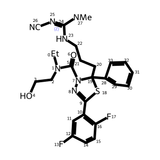 CCN(CCO)C(=O)N1N=C(c2cc(F)ccc2F)SC1(CCCN/C(=N\C#N)NC)c1ccccc1